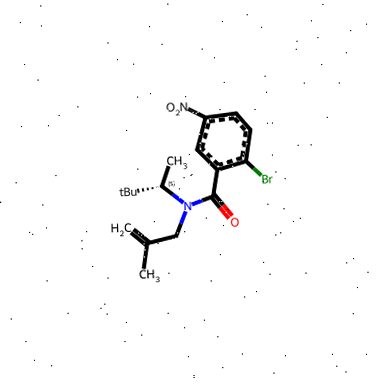 C=C(C)CN(C(=O)c1cc([N+](=O)[O-])ccc1Br)[C@@H](C)C(C)(C)C